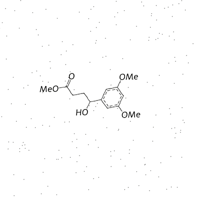 COC(=O)CCC(O)c1cc(OC)cc(OC)c1